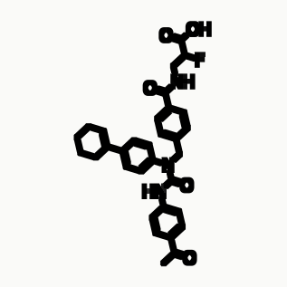 CC(=O)c1ccc(NC(=O)N(Cc2ccc(C(=O)NCC(F)C(=O)O)cc2)c2ccc(C3=CCCCC3)cc2)cc1